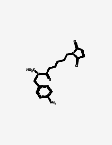 Nc1ccc(CN(C(=O)O)C(=O)CCCCCN2C(=O)C=CC2=O)cc1